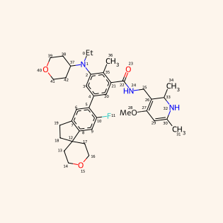 CCN(c1cc(-c2cc3c(cc2F)C2(CCOCC2)CC3)cc(C(=O)NCC2=C(OC)C=C(C)NC2C)c1C)C1CCOCC1